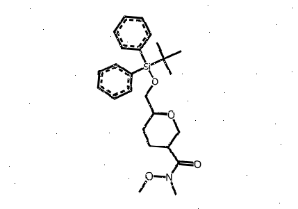 CON(C)C(=O)C1CCC(CO[Si](c2ccccc2)(c2ccccc2)C(C)(C)C)OC1